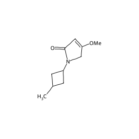 COC1=CC(=O)N(C2CC(C)C2)C1